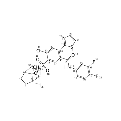 C[C@@]1(O)C2CC[C@@H]1C[C@@H](S(=O)(=O)c1cc(C(=O)Nc3ccc(F)c(F)c3)c(-c3nccs3)cc1Cl)C2